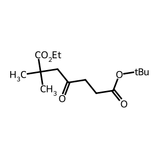 CCOC(=O)C(C)(C)CC(=O)CCC(=O)OC(C)(C)C